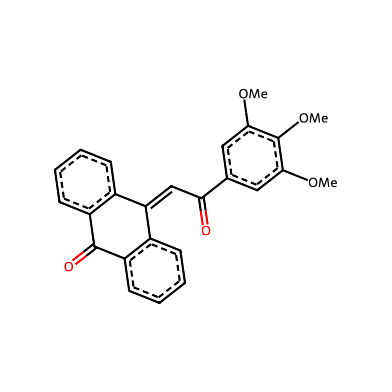 COc1cc(C(=O)C=C2c3ccccc3C(=O)c3ccccc32)cc(OC)c1OC